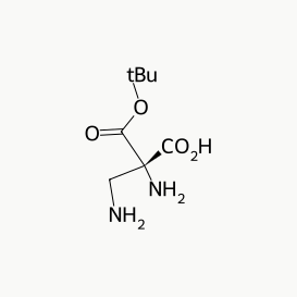 CC(C)(C)OC(=O)[C@](N)(CN)C(=O)O